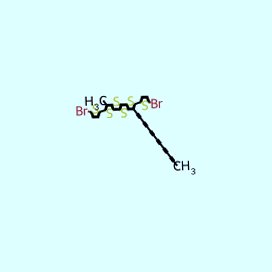 CC#CC#CC#CC#CC#CC#Cc1c(-c2ccc(Br)s2)sc2c1sc1c3sc(-c4ccc(Br)s4)c(C)c3sc21